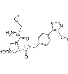 Cc1ncsc1-c1ccc(CNC(=O)[C@@H]2C[C@@H](O)CN2C(=O)[C@@H](N)CC2CC2)cc1